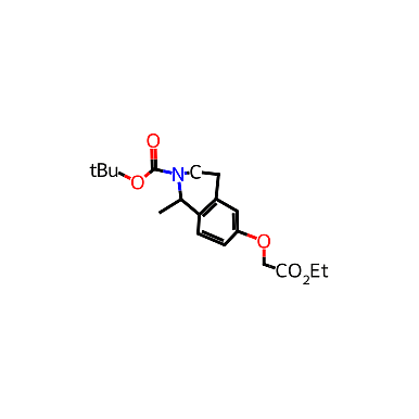 CCOC(=O)COc1ccc2c(c1)CCN(C(=O)OC(C)(C)C)C2C